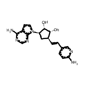 Nc1ccc(/C=C/[C@H]2C[C@@H](n3ccc4c(N)ncnc43)[C@H](O)[C@@H]2O)cn1